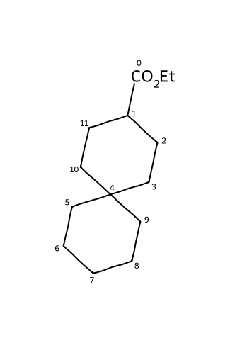 CCOC(=O)C1CCC2(CCCCC2)CC1